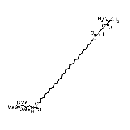 C=C(C)C(=O)OCCNC(=O)OCCCCCCCCCCCCCCCCCCCCCCCCCCOC(=O)NCCC[Si](OC)(OC)OC